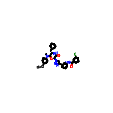 COc1ccc(N(C)C(=O)[C@H](Cc2ccccc2)NC(=O)Cn2cc(-c3cccc(NC(=O)c4cccc(F)c4)c3)nn2)cc1